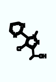 CC(O)c1nn(C)c(-c2ncccn2)c1Cl